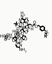 CSS[C@](CC[C@](COP(=O)(O)O[C@H]1C[C@H](n2ccc(N)nc2=O)O[C@@H]1COP(=O)(O)O)(NC(=O)OC(C)(C)C)C(=O)OC1COCC1O)(CNC(=O)OCc1ccc(N=[N+]=[N-])cc1)n1cnc2c(N)ncnc21